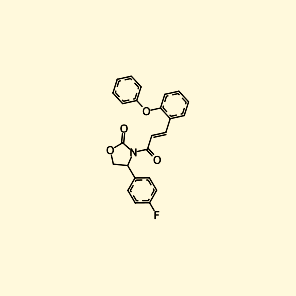 O=C(C=Cc1ccccc1Oc1ccccc1)N1C(=O)OCC1c1ccc(F)cc1